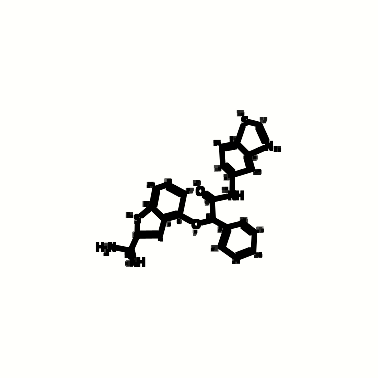 N=C(N)c1cc2c(OC(C(=O)Nc3ccc4scnc4c3)c3ccccc3)cccc2s1